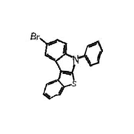 Brc1ccc2c(c1)c1c3ccccc3sc1n2-c1ccccc1